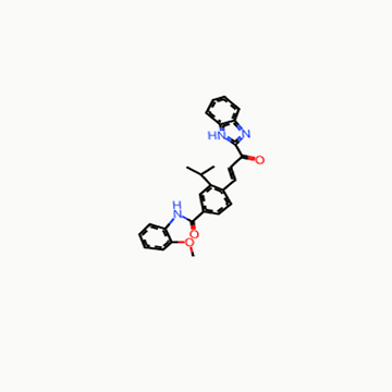 COc1ccccc1NC(=O)c1ccc(C=CC(=O)c2nc3ccccc3[nH]2)c(C(C)C)c1